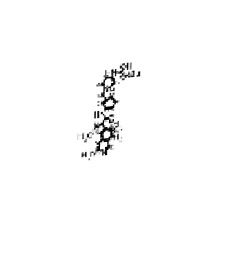 Cn1nc(C(=O)Nc2cccc(CN3CCC(NC(O)OC(C)(C)C)CC3)c2)c2c1-c1nc(N)ncc1CC2(C)C